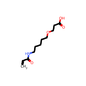 C=CC(=O)NCCCCCOCCC(=O)O